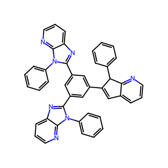 C1=C(c2cc(-c3nc4cccnc4n3-c3ccccc3)cc(-c3nc4cccnc4n3-c3ccccc3)c2)C(c2ccccc2)c2ncccc21